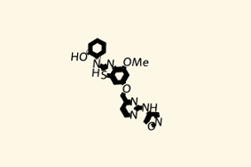 COc1cc(OCc2ccnc(Nc3cnoc3)n2)cc2sc(N[C@H]3CCCC[C@@H]3O)nc12